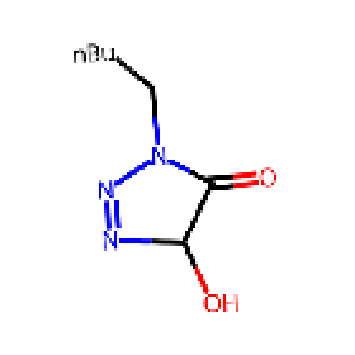 CCCCCN1N=NC(O)C1=O